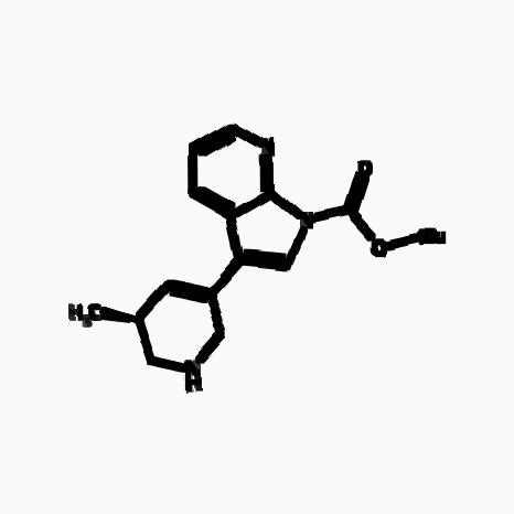 C[C@H]1C=C(c2cn(C(=O)OC(C)(C)C)c3ncccc23)CNC1